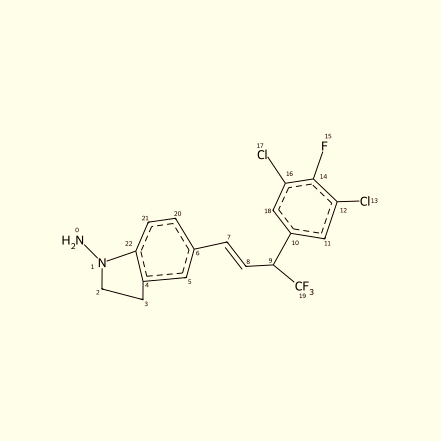 NN1CCc2cc(C=CC(c3cc(Cl)c(F)c(Cl)c3)C(F)(F)F)ccc21